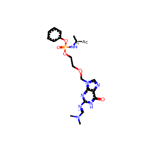 CC(=O)[C@H](C)NP(=O)(OCCOCn1cnc2c(=O)[nH]c(/N=C/N(C)C)nc21)Oc1ccccc1